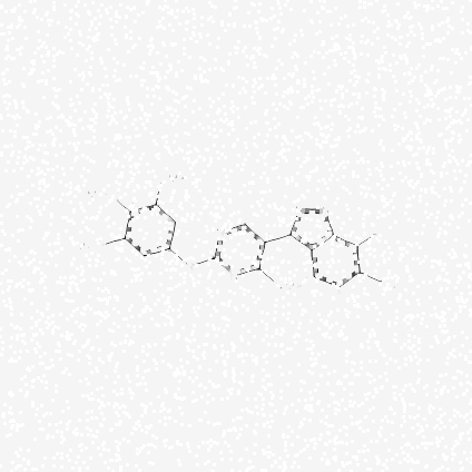 CNc1nc(Nc2cc(OC)c(OC)c(OC)c2)ncc1-c1n[nH]c2c(F)c(F)ccc12